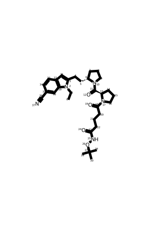 CCn1c(CC[C@@H]2CCCN2C(=O)[C@H]2CCCN2C(=O)CCCC(=O)NOC(C)(C)C)cc2ccc(C#N)cc21